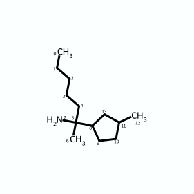 CCCCCC(C)(N)C1CCC(C)C1